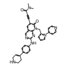 CN(C)C(=O)C#Cc1cc2cnc(Nc3ccc(C4=CCNCC4)cc3)nc2n(Cc2cccn2-c2ccncc2)c1=O